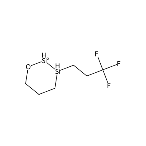 FC(F)(F)CC[SiH]1CCCO[SiH2]1